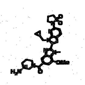 COc1cc(C(=O)N2CCC[C@@H](N)C2)cc2nc(-c3cc4ccc(N5CCCS5(=O)=O)nc4n3CC3CC3)n(C)c12